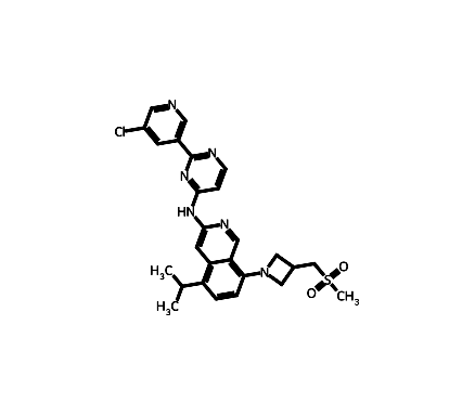 CC(C)c1ccc(N2CC(CS(C)(=O)=O)C2)c2cnc(Nc3ccnc(-c4cncc(Cl)c4)n3)cc12